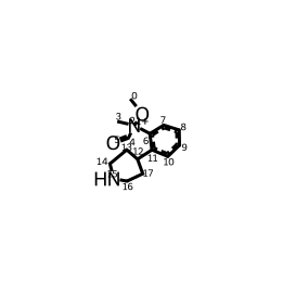 CO[N+](C)(C=O)c1ccccc1C1CCNCC1